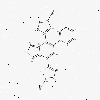 Brc1csc(-c2c(-c3ccncc3)nc(-c3ccc(Br)s3)c3nonc23)c1